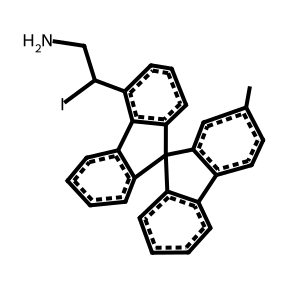 Cc1ccc2c(c1)C1(c3ccccc3-2)c2ccccc2-c2c(C(I)CN)cccc21